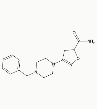 NC(=O)C1CC(N2CCN(Cc3ccccc3)CC2)=NO1